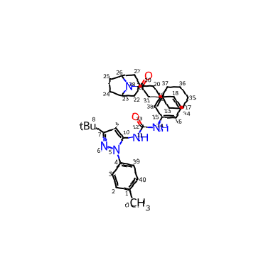 Cc1ccc(-n2nc(C(C)(C)C)cc2NC(=O)Nc2cccc(CC3CC4CCC(C3)N4C(=O)CC3CCCCC3)c2)cc1